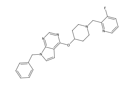 Fc1cccnc1CN1CCC(Oc2ncnc3c2ccn3Cc2ccccc2)CC1